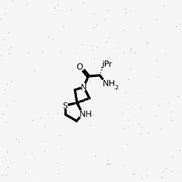 CC(C)[C@H](N)C(=O)N1CC2(C1)NCCS2